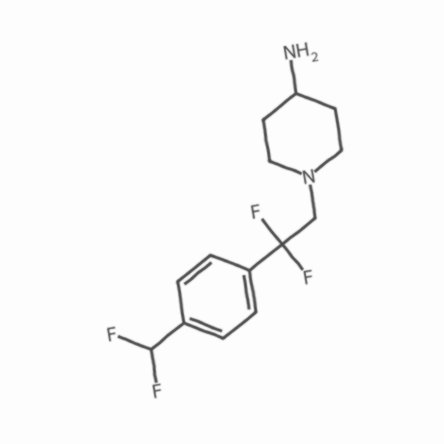 NC1CCN(CC(F)(F)c2ccc(C(F)F)cc2)CC1